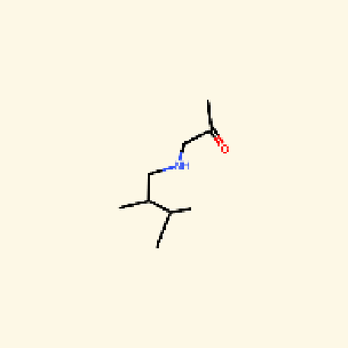 CC(=O)CNCC(C)C(C)C